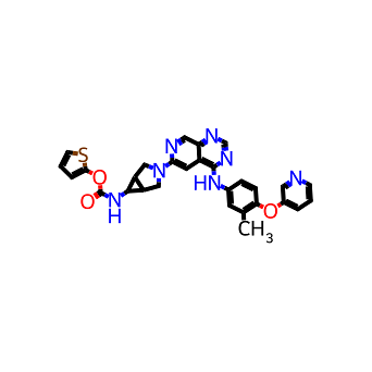 Cc1cc(Nc2ncnc3cnc(N4CC5C(C4)C5NC(=O)Oc4cccs4)cc23)ccc1Oc1cccnc1